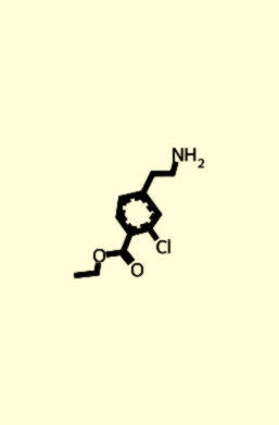 CCOC(=O)c1ccc(CCN)cc1Cl